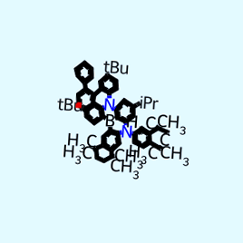 CC(C)c1cc2c3c(c1)N(c1ccc(C(C)(C)C)cc1-c1ccccc1-c1ccccc1)c1cc(C(C)(C)C)ccc1B3c1cc3c(cc1N2c1ccc2c(c1)C(C)(C)CCC2(C)C)C(C)(C)CCC3(C)C